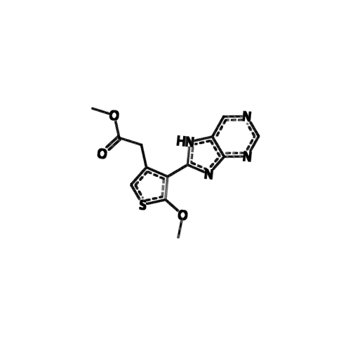 COC(=O)Cc1csc(OC)c1-c1nc2ncncc2[nH]1